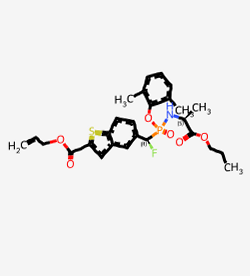 C=CCOC(=O)c1cc2cc([C@H](F)P(=O)(N[C@@H](C)C(=O)OCCC)Oc3c(C)cccc3C)ccc2s1